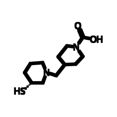 O=C(O)N1CCC(CN2CCC[C@@H](S)C2)CC1